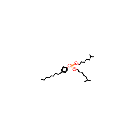 CCCCCCCCc1ccc(OP(OCCCCCC(C)C)OCCCCCC(C)C)cc1